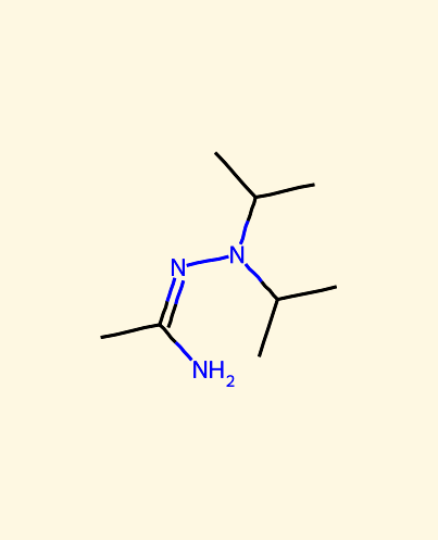 CC(N)=NN(C(C)C)C(C)C